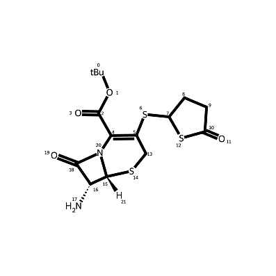 CC(C)(C)OC(=O)C1=C(SC2CCC(=O)S2)CS[C@@H]2[C@H](N)C(=O)N12